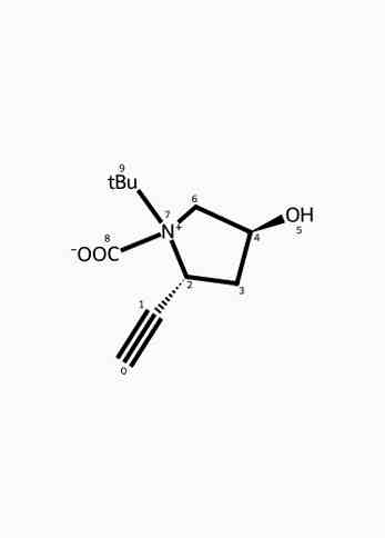 C#C[C@H]1C[C@H](O)C[N+]1(C(=O)[O-])C(C)(C)C